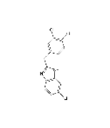 Clc1ccc2nc(Cc3ccc(Cl)c(Cl)c3)[nH]c2c1